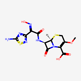 COC1=C(C(=O)O)N2C(=O)[C@@H](NC(=O)/C(=N/O)c3nsc(N)n3)[C@H]2SC1